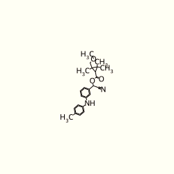 COCC1(C)C(C(=O)OC(C#N)c2cccc(Nc3ccc(C)cc3)c2)C1(C)C